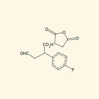 O=C1CCC(=O)O1.O=CCC(C(=O)O)c1ccc(F)cc1